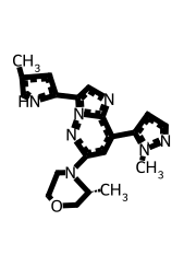 Cc1c[nH]c(-c2cnc3c(-c4ccnn4C)cc(N4CCOC[C@H]4C)nn23)c1